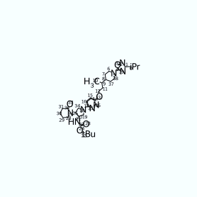 CC(C)c1noc(N2CCC([C@H](C)CCOc3ccc(N4C[C@H](NC(=O)OC(C)(C)C)[C@H](N5CCCCC5=O)C4)nn3)CC2)n1